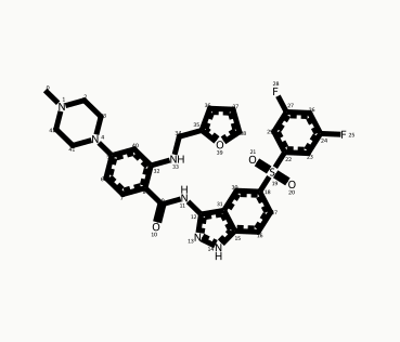 CN1CCN(c2ccc(C(=O)Nc3n[nH]c4ccc(S(=O)(=O)c5cc(F)cc(F)c5)cc34)c(NCc3ccco3)c2)CC1